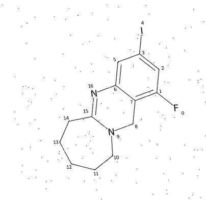 Fc1cc(I)cc2c1CN1CCCCCC1=N2